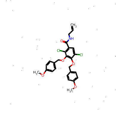 C=CCNC(=O)c1cc(Cl)c(OCc2ccc(OC)cc2)c(OCc2ccc(OC)cc2)c1Cl